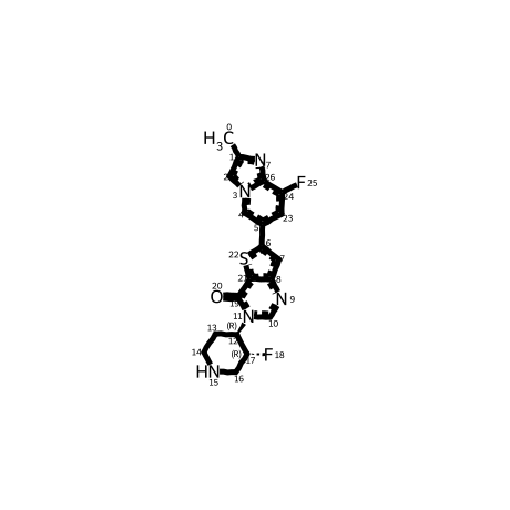 Cc1cn2cc(-c3cc4ncn([C@@H]5CCNC[C@H]5F)c(=O)c4s3)cc(F)c2n1